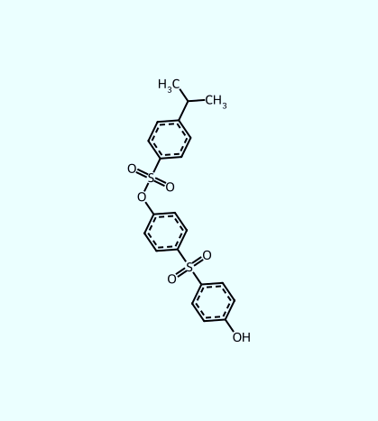 CC(C)c1ccc(S(=O)(=O)Oc2ccc(S(=O)(=O)c3ccc(O)cc3)cc2)cc1